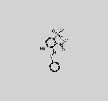 O=[N+]([O-])c1c(N=Nc2ccccc2)cccc1S(=O)(=O)[O-].[Na+]